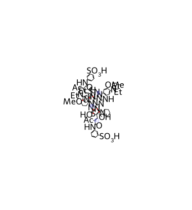 CCN(CC)c1cc(Nc2nc(Nc3cc(N(CC)CC)c(OC)cc3/N=N/c3nc(N4CCCCC4)c(/C=C(\C(C)=O)C(=O)Nc4cccc(S(=O)(=O)O)c4)s3)nc(N(CCO)CCO)n2)c(/N=N/c2nc(N3CCCCC3)c(C=C(C(C)=O)C(=O)Nc3cccc(S(=O)(=O)O)c3)s2)cc1OC